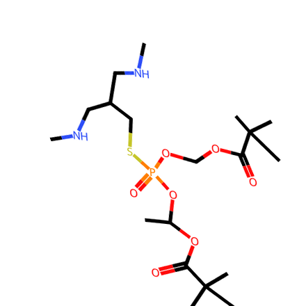 CNCC(CNC)CSP(=O)(OCOC(=O)C(C)(C)C)OC(C)OC(=O)C(C)(C)C